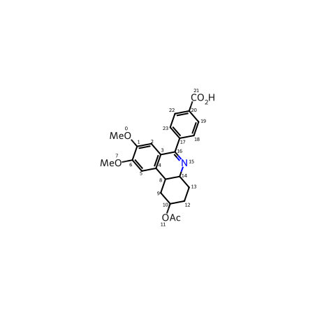 COc1cc2c(cc1OC)C1CC(OC(C)=O)CCC1N=C2c1ccc(C(=O)O)cc1